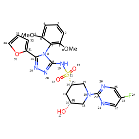 COc1cccc(OC)c1-n1c(NS(=O)(=O)[C@H]2C[C@@H](O)CN(c3ncc(F)cn3)C2)nnc1-c1ccco1